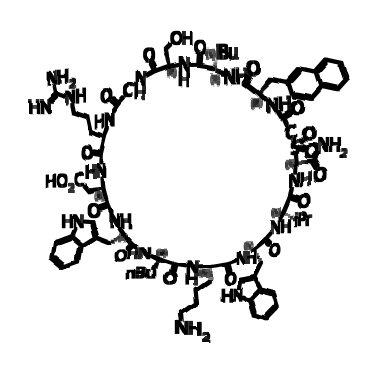 CCCC[C@H]1NC(=O)[C@H](Cc2c[nH]c3ccccc23)NC(=O)[C@@H](CC(=O)O)NC(=O)C(CCCNC(=N)N)NC(=O)CNC(=O)[C@@H](CO)NC(=O)[C@@H]([C@@H](C)CC)NC(=O)[C@@H](Cc2ccc3ccccc3c2)NC(=O)CS(=O)(=O)[C@@H](C(N)=O)NC(=O)[C@H](C(C)C)NC(=O)[C@H](Cc2c[nH]c3ccccc23)NC(=O)[C@H](CCCCN)NC1=O